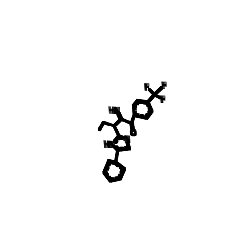 CCC(C(=N)C(=O)c1ccc(C(F)(F)F)cc1)c1ncc(-c2ccccc2)[nH]1